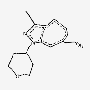 Cc1nn(C2CCOCC2)c2cc(O)ccc12